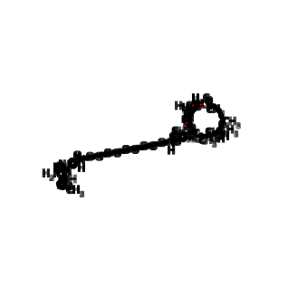 COc1cccc2cc(-c3nc([C@H]4CC[C@H](C(=O)NCCOCCOCCOCCOCCOCCOCCOCCOCCOCCNC(=O)O[C@@H]5CC[C@@H](C[C@@H](N)[C@@H]6C[C@@H](O)[C@H](C)/C=C(\C)[C@@H](O)[C@@H](O)C(=O)[C@H](C)C[C@H](C)/C=C/C=C/C=C(\C)[C@@H](OC)C[C@@H]7CC[C@@H](C)[C@@](O)(O7)C(=O)C(=O)N7CCCC[C@H]7C(=O)O6)C[C@H]5OC)CC4)n4ncnc(N)c34)[nH]c12